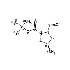 C[C@@H]1CC(C=O)N(C(=O)OC(C)(C)C)C1